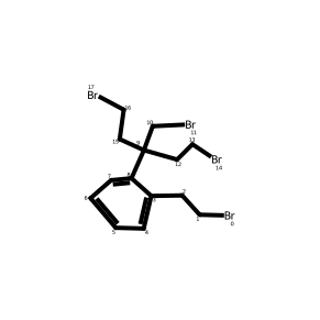 BrCCc1ccccc1C(CBr)(CCBr)CCBr